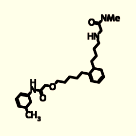 CNC(=O)CNCCCCC1CC=CC=C1CCCCCOCC(=O)NC1=CC=CC(C)C1